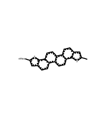 CCCCCCc1cc2ccc3c4ccc5c(ccc6cc(C)sc65)c4ccc3c2s1